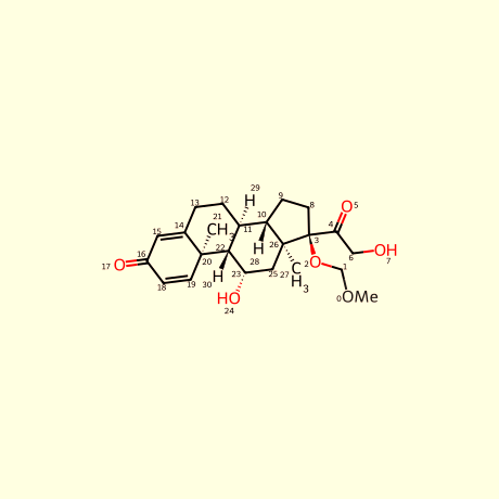 COCO[C@]1(C(=O)CO)CC[C@H]2[C@@H]3CCC4=CC(=O)C=C[C@]4(C)[C@H]3[C@@H](O)C[C@@]21C